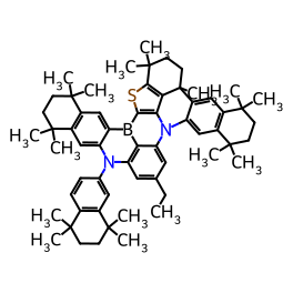 CCc1cc2c3c(c1)N1c4cc5c(cc4C4(C)CCC(C)(C)c6sc(c1c64)B3c1cc3c(cc1N2c1ccc2c(c1)C(C)(C)CCC2(C)C)C(C)(C)CCC3(C)C)C(C)(C)CCC5(C)C